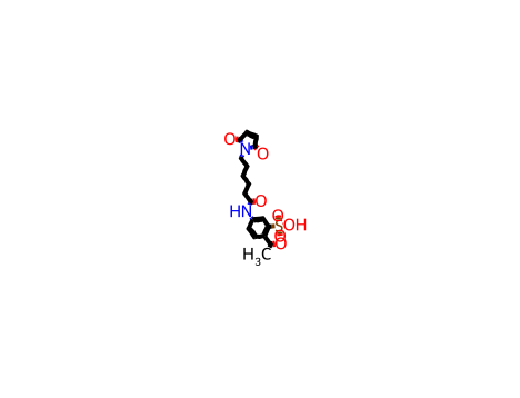 CC(=O)c1ccc(NC(=O)CCCCCN2C(=O)C=CC2=O)cc1S(=O)(=O)O